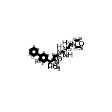 CC(c1ccc(-c2ccccc2)c(F)c1)c1cc(NC(=N)NCCN2CCOCC2)on1.Cl